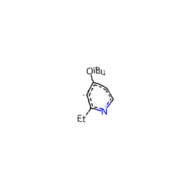 CCc1[c]c(OCC(C)C)ccn1